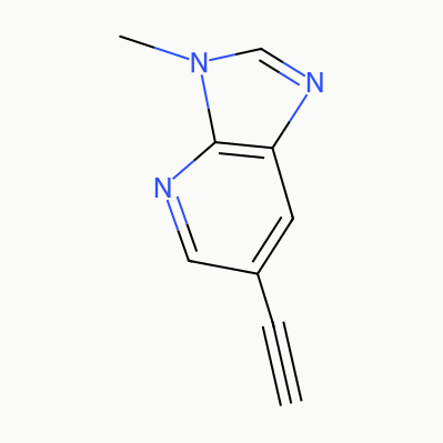 C#Cc1cnc2c(c1)ncn2C